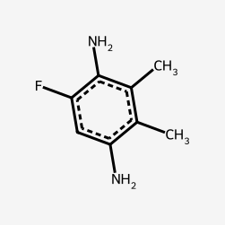 Cc1c(N)cc(F)c(N)c1C